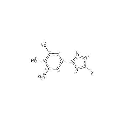 Cc1noc(-c2cc(O)c(O)c([N+](=O)[O-])c2)n1